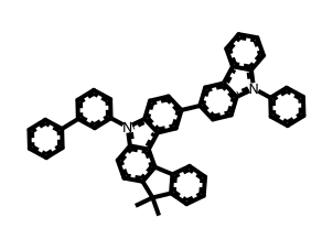 CC1(C)c2ccccc2-c2c1ccc1c2c2cc(-c3ccc4c(c3)c3ccccc3n4-c3ccccc3)ccc2n1-c1cccc(-c2ccccc2)c1